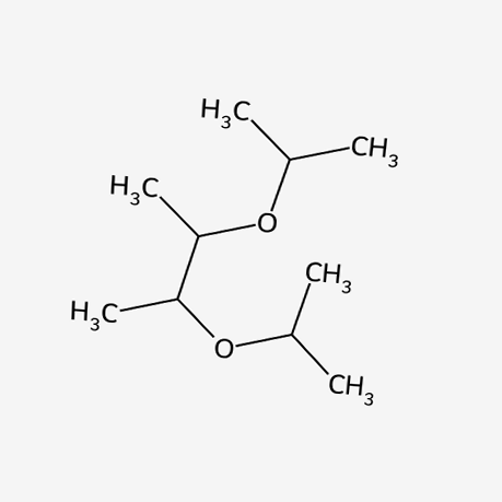 CC(C)OC(C)C(C)OC(C)C